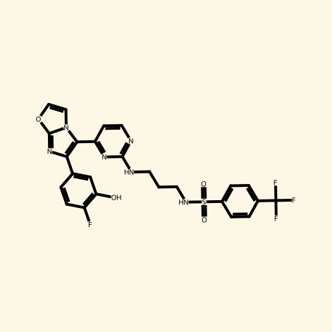 O=S(=O)(NCCCNc1nccc(-c2c(-c3ccc(F)c(O)c3)nc3occn23)n1)c1ccc(C(F)(F)F)cc1